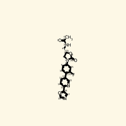 CC(=O)NC[C@H]1CN(c2ccc(-c3ccc(-c4cnco4)nc3)c(F)c2)C(=O)O1